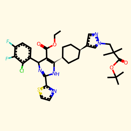 CCOC(=O)C1=C([C@H]2CC[C@H](c3cnn(CC(C)(C)C(=O)OC(C)(C)C)c3)CC2)NC(c2nccs2)=NC1c1ccc(F)c(F)c1Cl